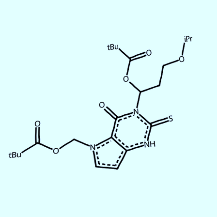 CC(C)OCCC(OC(=O)C(C)(C)C)n1c(=S)[nH]c2ccn(COC(=O)C(C)(C)C)c2c1=O